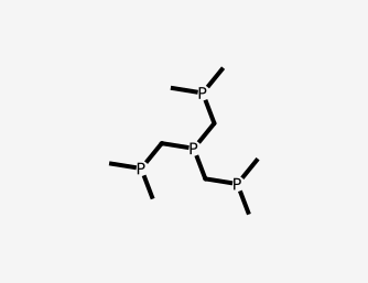 CP(C)CP(CP(C)C)CP(C)C